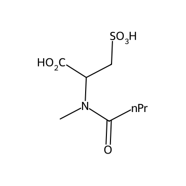 CCCC(=O)N(C)C(CS(=O)(=O)O)C(=O)O